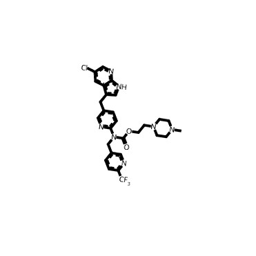 CN1CCN(CCOC(=O)N(Cc2ccc(C(F)(F)F)nc2)c2ccc(Cc3c[nH]c4ncc(Cl)cc34)cn2)CC1